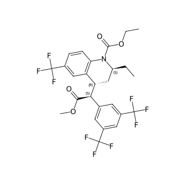 CCOC(=O)N1c2ccc(C(F)(F)F)cc2[C@@H]([C@H](C(=O)OC)c2cc(C(F)(F)F)cc(C(F)(F)F)c2)C[C@@H]1CC